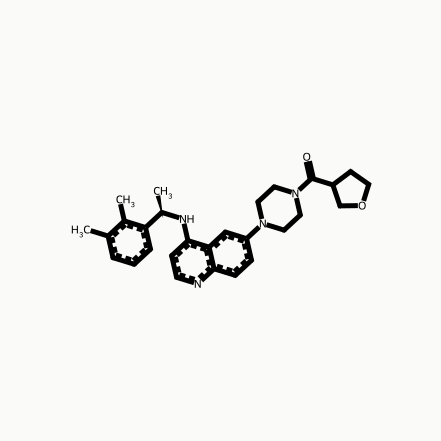 Cc1cccc([C@@H](C)Nc2ccnc3ccc(N4CCN(C(=O)C5CCOC5)CC4)cc23)c1C